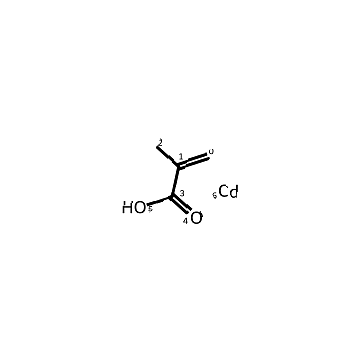 C=C(C)C(=O)O.[Cd]